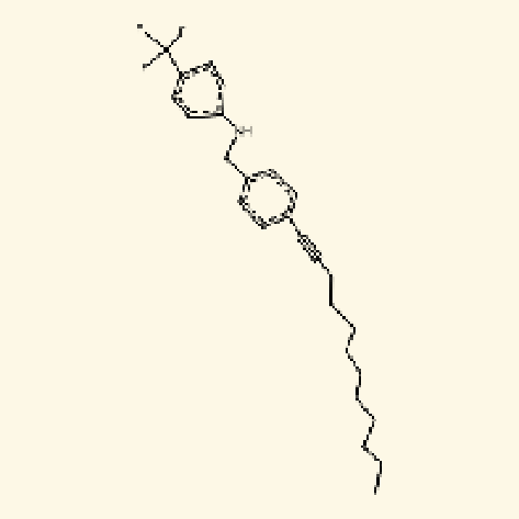 CCCCCCCCCCC#Cc1ccc(CNc2ccc(C(F)(F)F)cc2)cc1